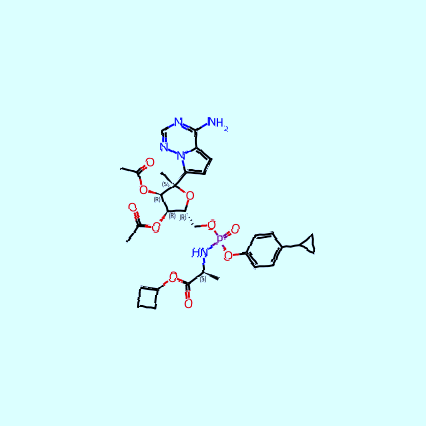 CC(=O)O[C@H]1[C@@H](OC(C)=O)[C@](C)(c2ccc3c(N)ncnn23)O[C@@H]1COP(=O)(N[C@@H](C)C(=O)OC1CCC1)Oc1ccc(C2CC2)cc1